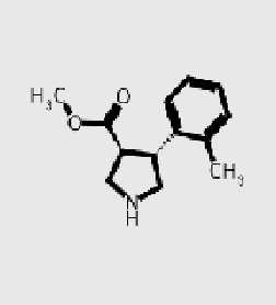 COC(=O)[C@@H]1CNC[C@H]1c1ccccc1C